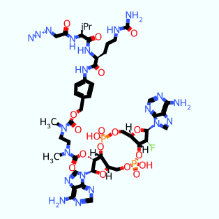 CC(C)[C@H](NC(=O)CN=[N+]=[N-])C(=O)N[C@@H](CCCNC(N)=O)C(=O)Nc1ccc(COC(=O)N(C)CCN(C)C(=O)O[C@@H]2[C@@H]3O[P@@](=O)(O)OC[C@H]4O[C@@H](n5cnc6c(N)ncnc65)[C@H](F)[C@@H]4OP(=O)(O)OC[C@H]3O[C@H]2n2cnc3c(N)ncnc32)cc1